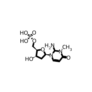 CN1C(=O)C=CN([C@H]2C[C@H](O)[C@@H](COP(=O)(O)O)O2)C1N